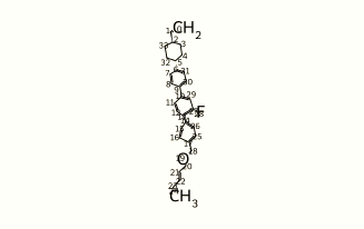 C=C[C@H]1CC[C@H](c2ccc(-c3ccc(-c4ccc(COCC=CCC)cc4)c(F)c3)cc2)CC1